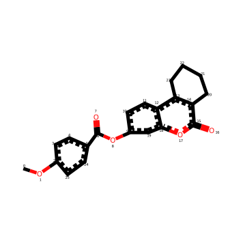 COc1ccc(C(=O)Oc2ccc3c4c(c(=O)oc3c2)CCCC4)cc1